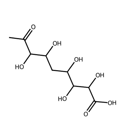 CC(=O)C(O)C(O)CC(O)C(O)C(O)C(=O)O